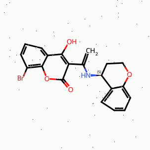 C=C(N[C@H]1CCOc2ccccc21)c1c(O)c2cccc(Br)c2oc1=O